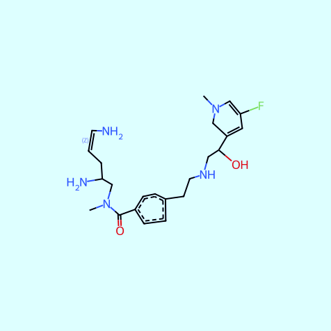 CN1C=C(F)C=C(C(O)CNCCc2ccc(C(=O)N(C)CC(N)C/C=C\N)cc2)C1